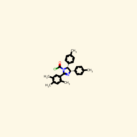 Cc1ccc([C@@H]2[C@H](c3ccc(C)cc3)N=C(c3cc(C)c(C)cc3C)N2C(=O)Cl)cc1